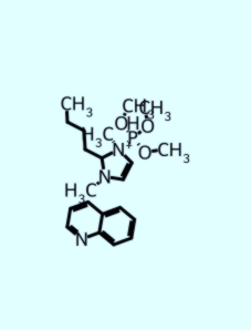 CCCCC1N(C)C=C[N+]1(C)[PH](OC)(OC)OC.c1ccc2ncccc2c1